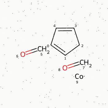 C1=CCC=C1.C=O.C=O.[Co]